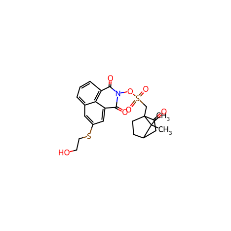 CC1(C)C2CCC1(CS(=O)(=O)ON1C(=O)c3cccc4cc(SCCO)cc(c34)C1=O)C(=O)C2